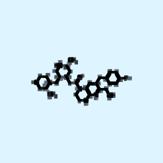 C[C@@H]1CN(CC(=O)N2CCOc3nc(CO)c(Cc4ccc(F)cc4)cc32)[C@@H](CN2CCOC[C@H]2C)CN1